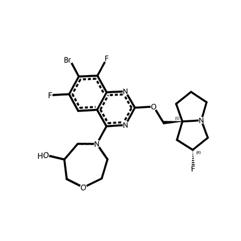 OC1COCCN(c2nc(OC[C@@]34CCCN3C[C@H](F)C4)nc3c(F)c(Br)c(F)cc23)C1